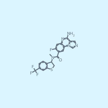 CN(C(=O)c1cc2c(cc1F)nc(N)c1cncn12)C1CSc2cc(C(F)(F)F)ccc21